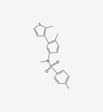 Cc1ccc(S(=O)(=O)N(C)c2ccc(C)c(-c3ccsc3C)c2)cc1